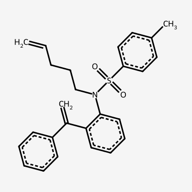 C=CCCCN(c1ccccc1C(=C)c1ccccc1)S(=O)(=O)c1ccc(C)cc1